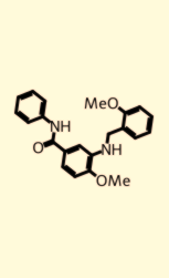 COc1ccccc1CNc1cc(C(=O)Nc2ccccc2)ccc1OC